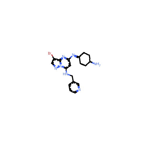 NC1CCC(=Nc2cc(NCc3cccnc3)n3ncc(Br)c3n2)CC1